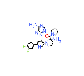 Nc1ncnc2c1ncn2Cc1cc(-c2ccc(F)c(F)c2)ncc1N1CCCC(N)(C(=O)N2CCCCC2)C1